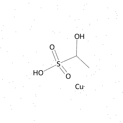 CC(O)S(=O)(=O)O.[Cu]